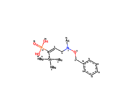 CCC[CH2][Sn]([CH2]CCC)([CH2]CCC)[C](=CCN(OCc1ccccc1)C(C)=O)P(=O)(O)O